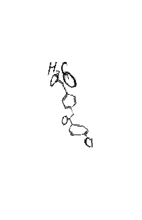 COC(=O)c1ccc(CC(=O)c2ccc(Cl)cc2)cc1